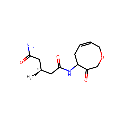 C[C@@H](CC(N)=O)CC(=O)NC1CC=CCOCC1=O